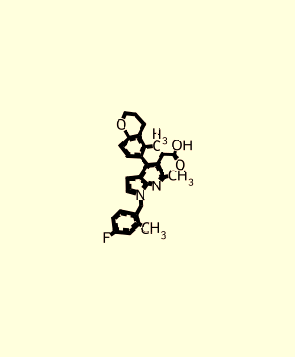 Cc1cc(F)ccc1Cn1ccc2c(-c3ccc4c(c3C)CCCO4)c(CC(=O)O)c(C)nc21